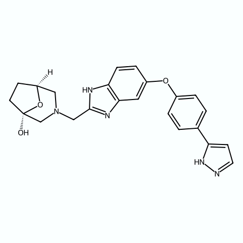 O[C@@]12CC[C@@H](CN(Cc3nc4cc(Oc5ccc(-c6ccn[nH]6)cc5)ccc4[nH]3)C1)O2